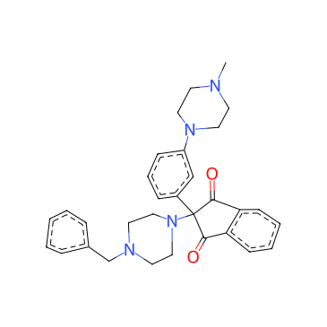 CN1CCN(c2cccc(C3(N4CCN(Cc5ccccc5)CC4)C(=O)c4ccccc4C3=O)c2)CC1